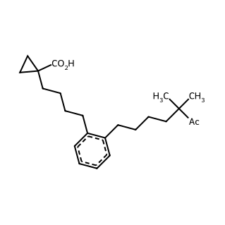 CC(=O)C(C)(C)CCCCc1ccccc1CCCCC1(C(=O)O)CC1